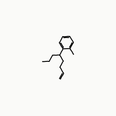 C=CCC[C](CCC)c1ccccc1C